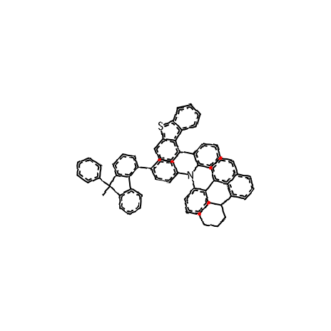 CC1(c2ccccc2)c2ccccc2-c2c(-c3ccc(N(c4ccccc4-c4cccc5cccc(C6CCCCC6)c45)c4ccccc4-c4cccc5sc6ccccc6c45)cc3)cccc21